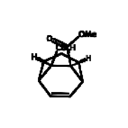 COC(=O)[C@H]1C2C=CC(CCC2)[C@@H]1C(=O)O